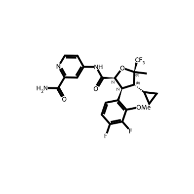 COc1c([C@H]2[C@@H](C(=O)Nc3ccnc(C(N)=O)c3)O[C@@](C)(C(F)(F)F)[C@@H]2C2CC2)ccc(F)c1F